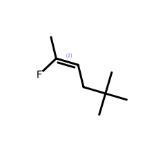 C/C(F)=C/CC(C)(C)C